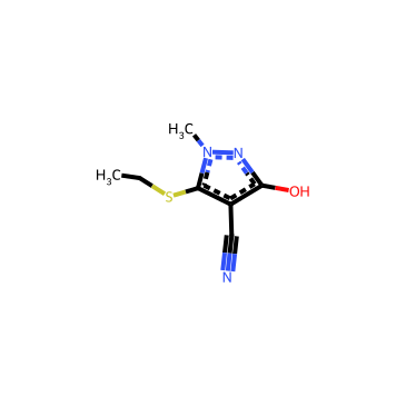 CCSc1c(C#N)c(O)nn1C